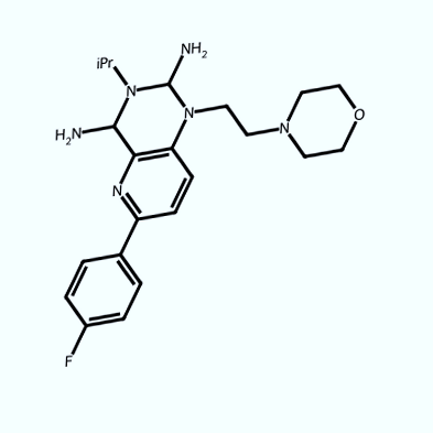 CC(C)N1C(N)c2nc(-c3ccc(F)cc3)ccc2N(CCN2CCOCC2)C1N